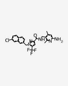 Cc1cc(N)nc(C)c1CNC(=O)c1cc(C(F)(F)F)n(Cc2ccc3ccc(Cl)cc3c2)n1